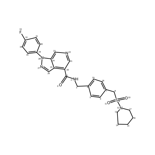 O=C(NCc1ccc(CS(=O)(=O)N2CCCCC2)cc1)c1cncc2c1cnn2-c1ccc(F)cc1